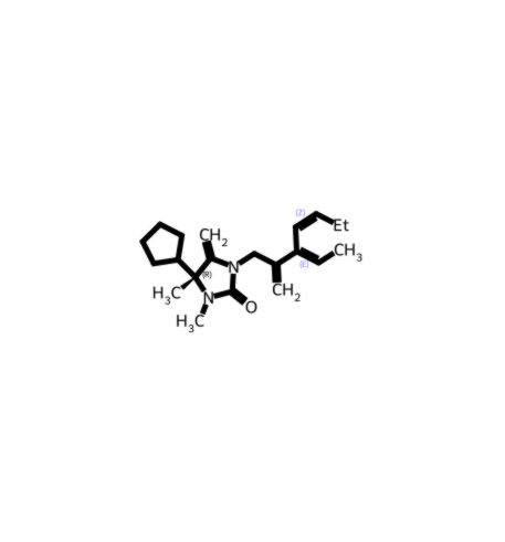 C=C(CN1C(=C)[C@@](C)(C2CCCC2)N(C)C1=O)C(/C=C\CC)=C/C